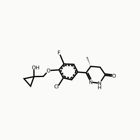 C[C@@H]1CC(=O)NN=C1c1cc(F)c(OCC2(O)CC2)c(Cl)c1